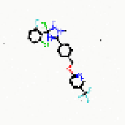 CN1NC(Cl)(c2c(F)cccc2Cl)N=C1c1ccc(COc2ccc(C(F)(F)F)cn2)cc1